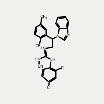 N#CNC(=NCC(c1cc(C(F)(F)F)ccc1C(F)(F)F)n1cnc2ccccc21)Nc1ccc(Cl)cc1Cl